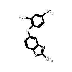 Cc1nc2cc(Oc3ccc([N+](=O)[O-])cc3C)ccc2s1